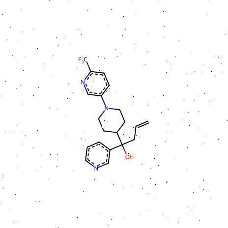 C=CCC(O)(c1cccnc1)C1CCN(c2ccc(C(F)(F)F)nc2)CC1